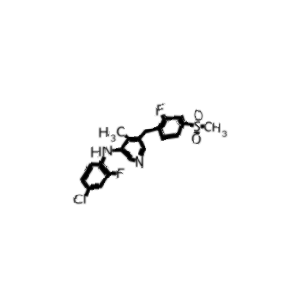 Cc1c(Cc2ccc(S(C)(=O)=O)cc2F)cncc1Nc1ccc(Cl)cc1F